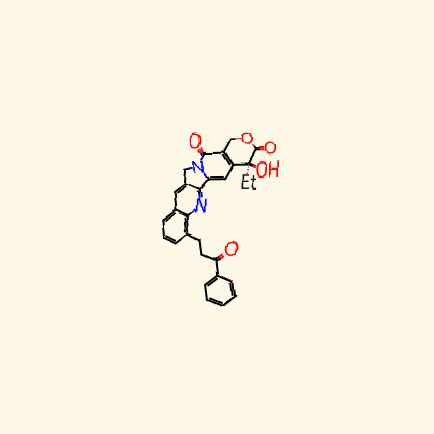 CC[C@@]1(O)C(=O)OCc2c1cc1n(c2=O)Cc2cc3cccc(CCC(=O)c4ccccc4)c3nc2-1